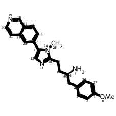 COc1ccc(C[C@H](N)CCc2ncc(-c3ccc4cnccc4c3)n2C)cc1